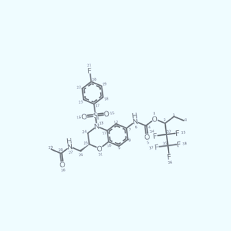 CCC(OC(=O)Nc1ccc2c(c1)N(S(=O)(=O)c1ccc(F)cc1)C[C@H](CNC(C)=O)O2)C(F)(F)C(F)(F)F